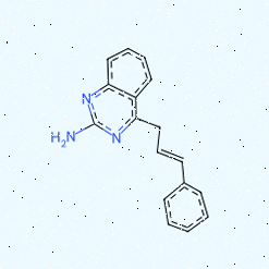 Nc1nc(CC=Cc2ccccc2)c2ccccc2n1